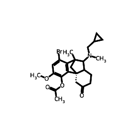 COc1cc(Br)c2c(c1OC(C)=O)[C@]13CC(=O)CCC1C(N(C)CC1CC1)C2(C)C3